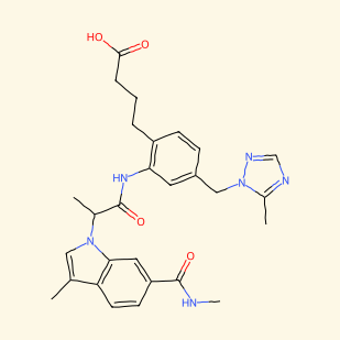 CNC(=O)c1ccc2c(C)cn(C(C)C(=O)Nc3cc(Cn4ncnc4C)ccc3CCCC(=O)O)c2c1